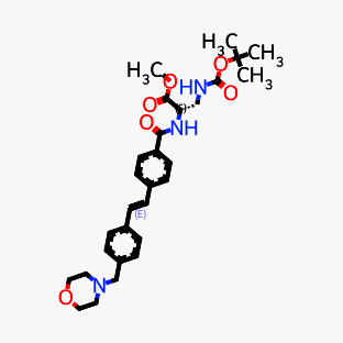 COC(=O)[C@H](CNC(=O)OC(C)(C)C)NC(=O)c1ccc(/C=C/c2ccc(CN3CCOCC3)cc2)cc1